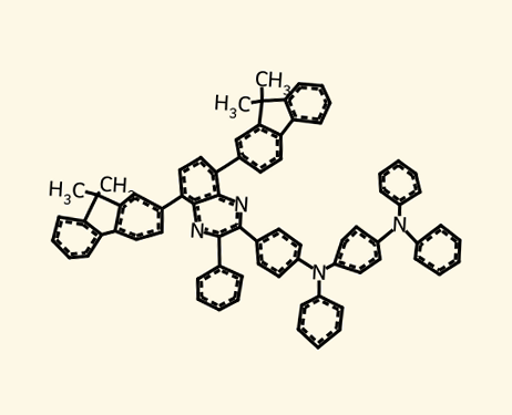 CC1(C)c2ccccc2-c2ccc(-c3ccc(-c4ccc5c(c4)C(C)(C)c4ccccc4-5)c4nc(-c5ccc(N(c6ccccc6)c6ccc(N(c7ccccc7)c7ccccc7)cc6)cc5)c(-c5ccccc5)nc34)cc21